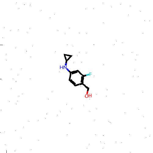 OCc1ccc(NC2CC2)cc1F